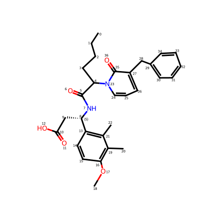 CCCCC(C(=O)N[C@@H](CC(=O)O)c1ccc(OC)c(C)c1C)n1cccc(Cc2ccccc2)c1=O